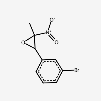 CC1([N+](=O)[O-])OC1c1cccc(Br)c1